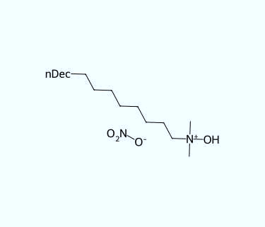 CCCCCCCCCCCCCCCCCC[N+](C)(C)O.O=[N+]([O-])[O-]